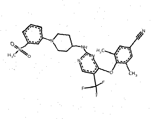 Cc1cc(C#N)cc(C)c1Oc1nc(NC2CCN(c3cccc(S(C)(=O)=O)c3)CC2)ncc1C(F)(F)F